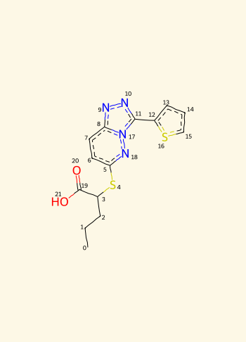 CCCC(Sc1ccc2nnc(-c3cccs3)n2n1)C(=O)O